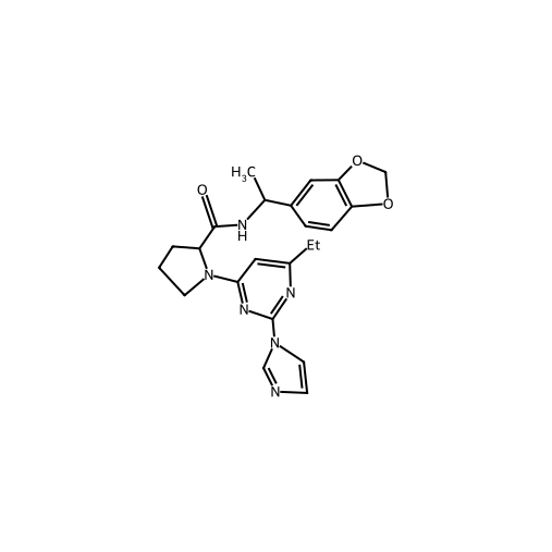 CCc1cc(N2CCCC2C(=O)NC(C)c2ccc3c(c2)OCO3)nc(-n2ccnc2)n1